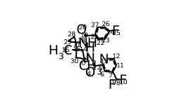 CC1(NC(=O)c2cc(C(F)F)ccn2)CC(C)(C2(NC(=O)c3ccc(F)cc3)CC2)C1